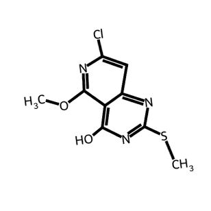 COc1nc(Cl)cc2nc(SC)nc(O)c12